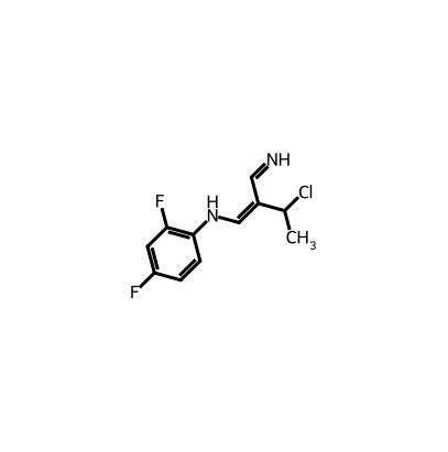 CC(Cl)/C(C=N)=C/Nc1ccc(F)cc1F